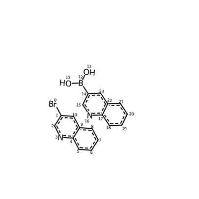 Brc1cnc2ccccc2c1.OB(O)c1cnc2ccccc2c1